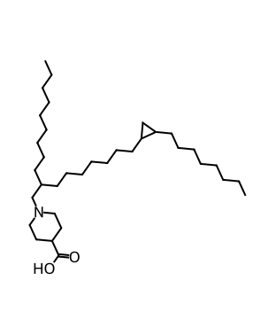 CCCCCCCCCC(CCCCCCCC1CC1CCCCCCCC)CN1CCC(C(=O)O)CC1